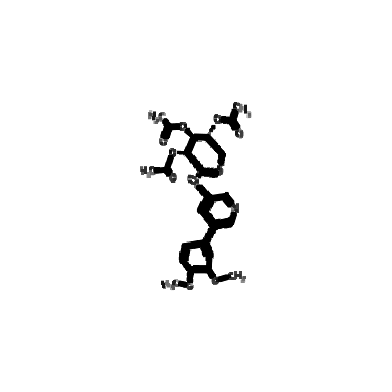 COc1ccc(-c2cncc(O[C@H]3SC[C@@H](OC(C)=O)[C@H](OC(C)=O)[C@H]3OC(C)=O)c2)cc1OC